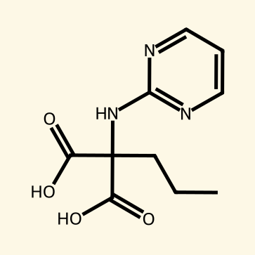 CCCC(Nc1ncccn1)(C(=O)O)C(=O)O